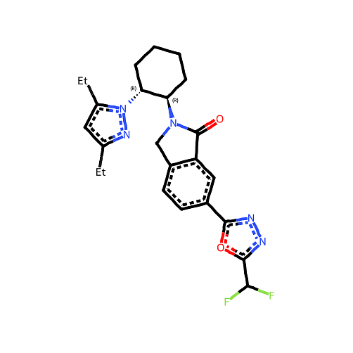 CCc1cc(CC)n([C@@H]2CCCC[C@H]2N2Cc3ccc(-c4nnc(C(F)F)o4)cc3C2=O)n1